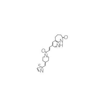 O=C1CCCc2cc(/C=C/C(=O)N3CCC(=Cc4nccs4)CC3)cnc2N1